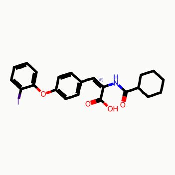 O=C(O)/C(=C\c1ccc(Oc2ccccc2I)cc1)NC(=O)C1CCCCC1